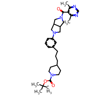 Cc1ncnc(C)c1C(=O)N1CC2CN(c3cccc(CCCC4CCN(C(=O)OC(C)(C)C)CC4)c3)CC2C1